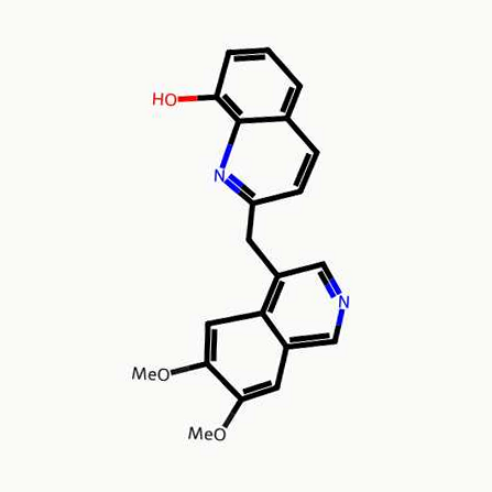 COc1cc2cncc(Cc3ccc4cccc(O)c4n3)c2cc1OC